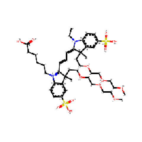 CCN1/C(=C/C=C/C2=[N+](CCCCCC(=O)O)c3ccc(S(=O)(=O)O)cc3C2(C)CCOCCOCCOC)C(C)(CCOCCOCCOC)c2cc(S(=O)(=O)O)ccc21